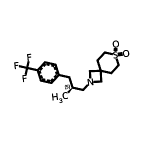 C[C@@H](Cc1ccc(C(F)(F)F)cc1)CN1CC2(CCS(=O)(=O)CC2)C1